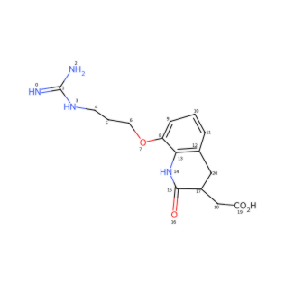 N=C(N)NCCCOc1cccc2c1NC(=O)C(CC(=O)O)C2